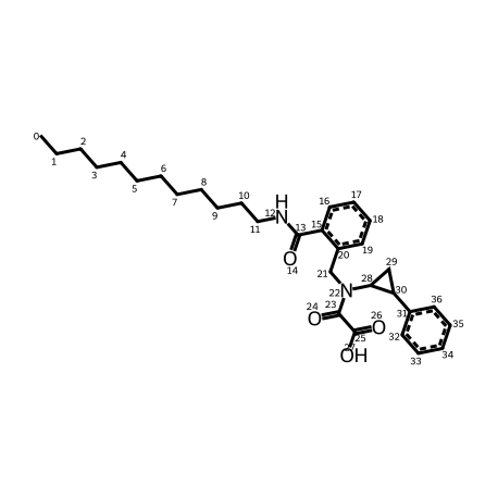 CCCCCCCCCCCCNC(=O)c1ccccc1CN(C(=O)C(=O)O)C1CC1c1ccccc1